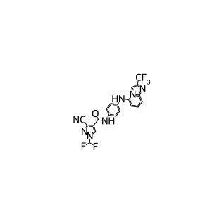 N#Cc1nn(C(F)F)cc1C(=O)Nc1ccc(Nc2cccc3nc(C(F)(F)F)cn23)cc1